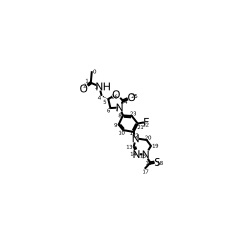 CC(=O)NC[C@H]1CN(c2ccc(N3C=NN(C(C)=S)CC3)c(F)c2)C(=O)O1